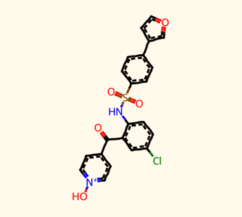 O=C(c1cc[n+](O)cc1)c1cc(Cl)ccc1NS(=O)(=O)c1ccc(-c2ccoc2)cc1